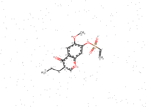 C=CS(=O)(=O)Oc1cc2occ(CCC)c(=O)c2cc1OC